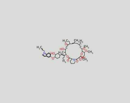 C=CCn1ccc2cc(OC3CCC(C=C(C)C4OC(=O)C5CCCCN5C(=O)C(=O)C5(O)OC(C(OC)CC(C)C/C(C)=C/C(CC)C(=O)CC(O)C4C)C(OC)CC5C)CC3O)ccc21